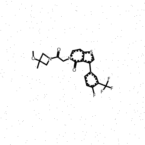 COC1(C)CN(C(=O)Cn2ccc3scc(-c4ccc(F)c(C(F)(F)F)c4)c3c2=O)C1